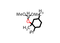 CO[SiH](OC)OC1(C)CC(C)CCC1C(C)C